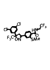 CSc1cc(C2=NOC(c3cc(Cl)cc(Cl)c3)(C(F)(F)F)C2)ccc1C(=O)NCC(F)(F)F